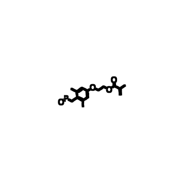 C=C(C)C(=O)OCCOc1cc(C)c(CP=O)c(C)c1